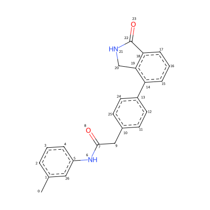 Cc1cccc(NC(=O)Cc2ccc(-c3cccc4c3CNC4=O)cc2)c1